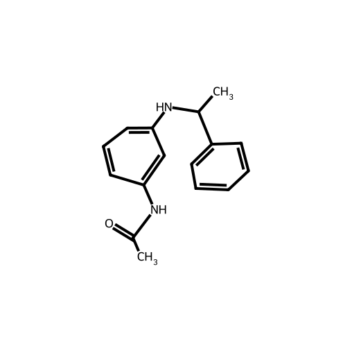 CC(=O)Nc1cccc(NC(C)c2ccccc2)c1